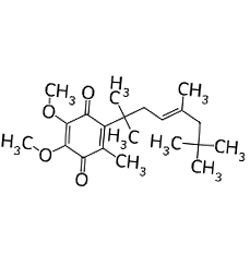 COC1=C(OC)C(=O)C(C(C)(C)C/C=C(\C)CC(C)(C)C)=C(C)C1=O